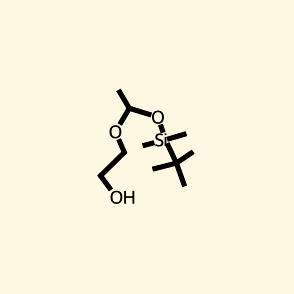 CC(OCCO)O[Si](C)(C)C(C)(C)C